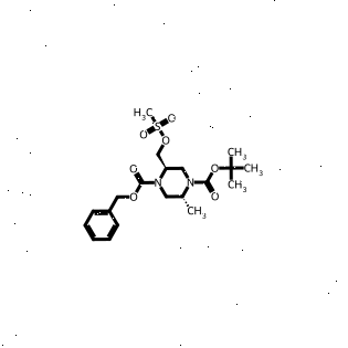 C[C@@H]1CN(C(=O)OCc2ccccc2)[C@@H](COS(C)(=O)=O)CN1C(=O)OC(C)(C)C